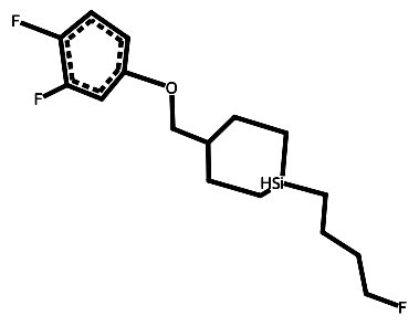 FCCCC[SiH]1CCC(COc2ccc(F)c(F)c2)CC1